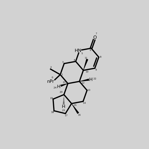 CCCC1(C)CC2NC(=O)C=C[C@]2(C)[C@@H]2CC[C@]3(C)CCC[C@H]3[C@@H]21